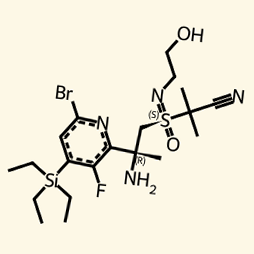 CC[Si](CC)(CC)c1cc(Br)nc([C@@](C)(N)C[S@@](=O)(=NCCO)C(C)(C)C#N)c1F